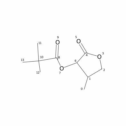 CC1COC(=O)C1OC(=O)C(C)(C)C